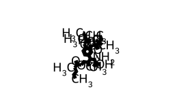 CCCC(C)C(=O)OCC(C)C(c1ccc(OC(=O)C(C)(C)CC)c(OC(=O)C(C)(C)CC)c1)[C@H](N)C(=O)O